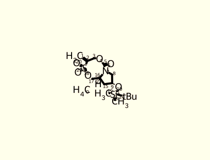 C.C=C1COC(=O)N2C[C@H](O[Si](C)(C)C(C)(C)C)C[C@H]2COS1(=O)=O